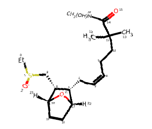 CC[S+]([O-])C[C@@H]1[C@H](C/C=C\CCC(C)(C)C(=O)N(C)O)[C@@H]2CC[C@H]1O2